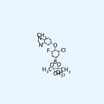 Cn1cnc2cc(Oc3c(F)cc(B4OC(C)(C)C(C)(C)O4)cc3Cl)ccc21